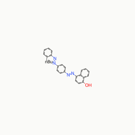 CCCCc1ccccc1N=Nc1ccc(N=Nc2ccc(O)c3ccccc23)cc1